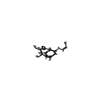 C/C=C\Cc1ccc2cc1OC(C)=C2C